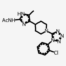 CC(=O)Nc1nc(C2CCN(c3nnnn3-c3ccccc3Cl)CC2)c(C)[nH]1